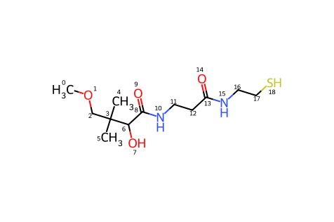 COCC(C)(C)C(O)C(=O)NCCC(=O)NCCS